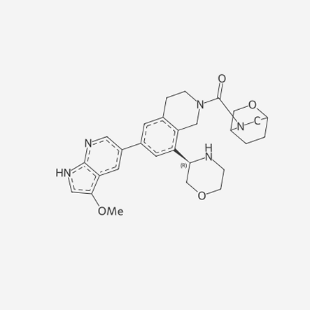 COc1c[nH]c2ncc(-c3cc4c(c([C@@H]5COCCN5)c3)CN(C(=O)N3CC5CCC3CO5)CC4)cc12